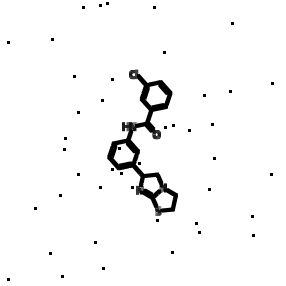 O=C(Nc1cccc(C2CN3CCSC3=N2)c1)c1cccc(Cl)c1